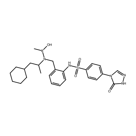 CB(O)N(Cc1ccccc1NS(=O)(=O)c1ccc(-n2cn[nH]c2=O)cc1)C(C)CC1CCCCC1